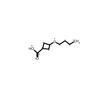 CCCCOC1CC(C(=O)O)C1